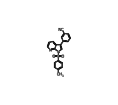 Cc1ccc(S(=O)(=O)n2cc(-c3cccc(C#N)c3)c3cccnc32)cc1